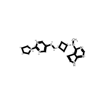 CN(c1ncnc2[nH]ccc12)[C@H]1C[C@@H](CSc2cnc(N3CCCC3)nc2)C1